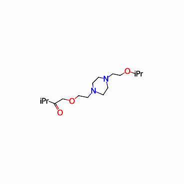 CC(C)OCCN1CCN(CCOCC(=O)C(C)C)CC1